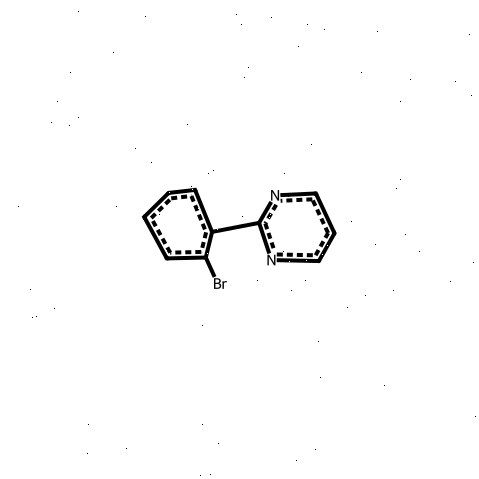 Brc1ccccc1-c1ncccn1